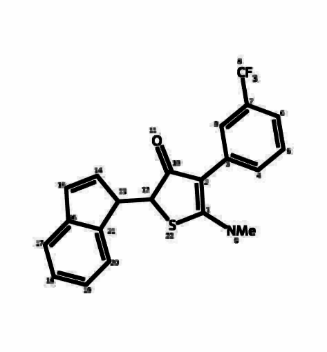 CNC1=C(c2cccc(C(F)(F)F)c2)C(=O)C(C2C=Cc3ccccc32)S1